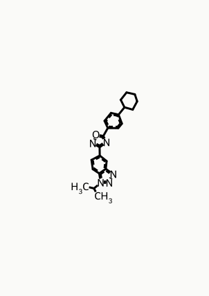 CC(C)n1nnc2cc(-c3noc(-c4ccc(C5CCCCC5)cc4)n3)ccc21